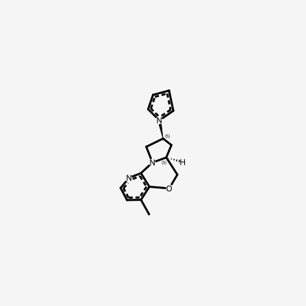 Cc1ccnc2c1OC[C@@H]1C[C@H](n3cccc3)CN21